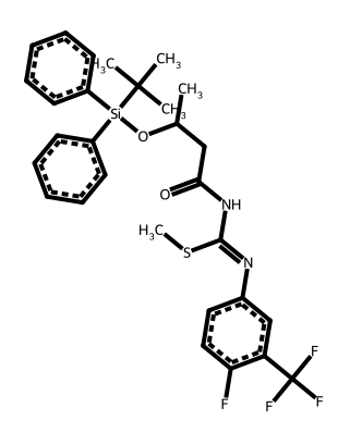 CS/C(=N\c1ccc(F)c(C(F)(F)F)c1)NC(=O)CC(C)O[Si](c1ccccc1)(c1ccccc1)C(C)(C)C